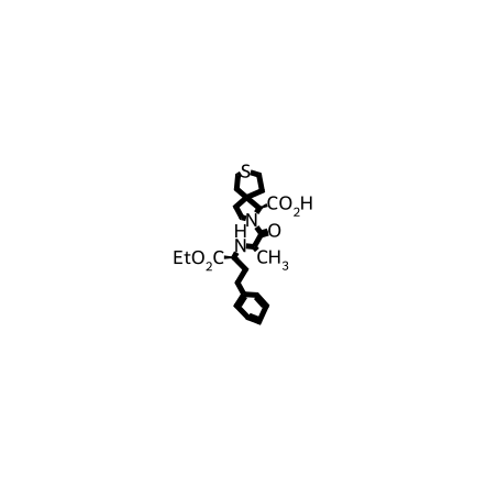 CCOC(=O)[C@H](CCc1ccccc1)NC(C)C(=O)N1CCC2(CCSCC2)[C@H]1C(=O)O